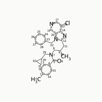 Cc1ccc(C(=O)N(CC(C)Cc2nc3c(Cl)cncc3n2Cc2ccccc2)CC2CC2)cc1